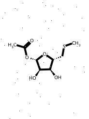 CSC[C@H]1O[C@@H](OC(C)=O)[C@H](O)[C@@H]1O